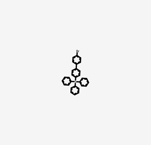 Brc1ccc(-c2ccc(S(c3ccccc3)(c3ccccc3)c3ccccc3)cc2)cc1